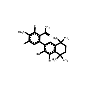 CC1(C)CCC(C)(C)c2c1cc(-c1cc(F)c(C(=O)O)c(F)c1C(N)=O)c(O)c2Br